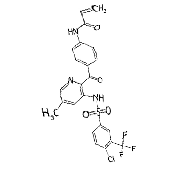 C=CC(=O)Nc1ccc(C(=O)c2ncc(C)cc2NS(=O)(=O)c2ccc(Cl)c(C(F)(F)F)c2)cc1